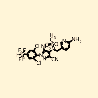 CS(=O)(=O)N(Cc1ccc(N)nc1)c1c(C#N)nn(-c2c(Cl)cc(S(F)(F)(F)(F)F)cc2Cl)c1N